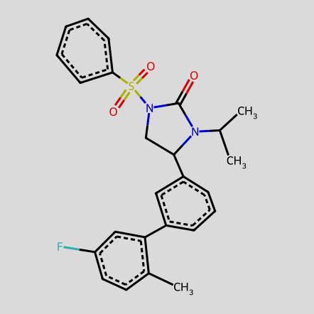 Cc1ccc(F)cc1-c1cccc(C2CN(S(=O)(=O)c3ccccc3)C(=O)N2C(C)C)c1